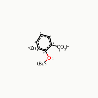 CC(C)(C)Oc1ccccc1C(=O)O.[Zn]